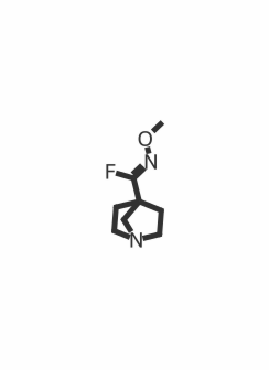 CON=C(F)C12CCN(CC1)C2